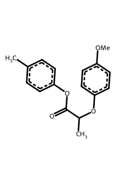 COc1ccc(OC(C)C(=O)Oc2ccc(C)cc2)cc1